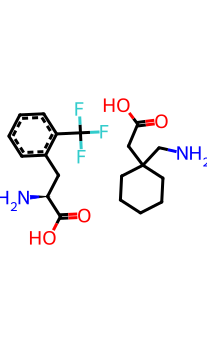 NCC1(CC(=O)O)CCCCC1.N[C@@H](Cc1ccccc1C(F)(F)F)C(=O)O